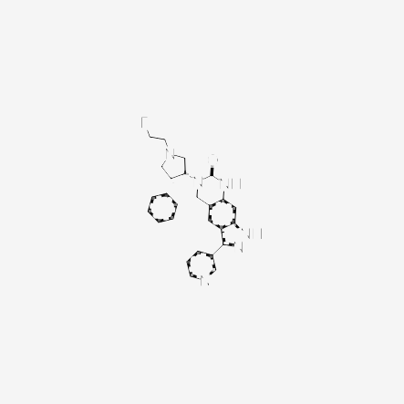 O=C1Nc2cc3[nH]nc(-c4cccnc4)c3cc2CN1[C@@H]1CN(CCF)C[C@H]1c1ccccc1